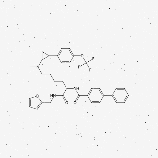 CN(CCCCC(NC(=O)c1ccc(-c2ccccc2)cc1)C(=O)NCc1ccco1)C1CC1c1ccc(OC(F)(F)F)cc1